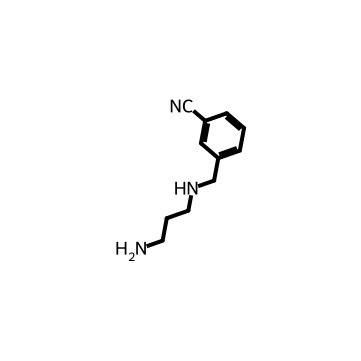 N#Cc1cccc(CNCCCN)c1